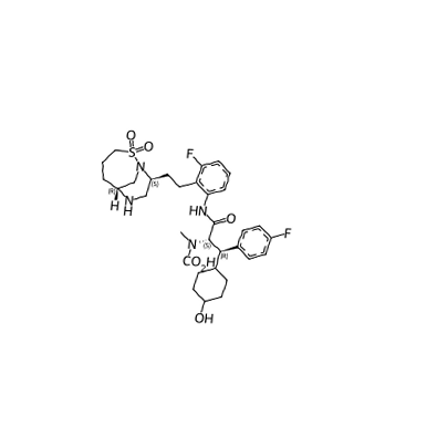 CN(C(=O)O)[C@H](C(=O)Nc1cccc(F)c1CC[C@H]1CN[C@@H]2CCCS(=O)(=O)N1C2)[C@@H](c1ccc(F)cc1)C1CCC(O)CC1